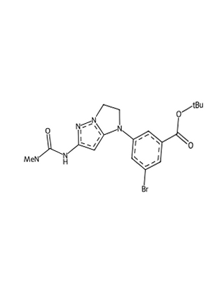 CNC(=O)Nc1cc2n(n1)CCN2c1cc(Br)cc(C(=O)OC(C)(C)C)c1